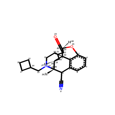 N#CC1c2cccc3c2[C@]24CCN(CC5CCC5)[C@@H]1[C@@H]2CCC(=O)[C@@H]4O3